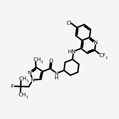 Cc1nn(CC(C)(C)F)cc1C(=O)NC1CCCC(Nc2cc(C(F)(F)F)nc3ccc(Cl)cc23)C1